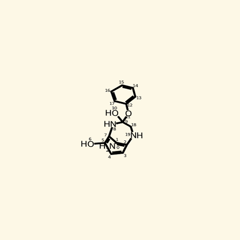 Nc1c2ccc(O)c1NC(O)(Oc1ccccc1)CN2